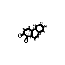 O=C1[C]=Cc2c(ccc3ccccc23)C1=O